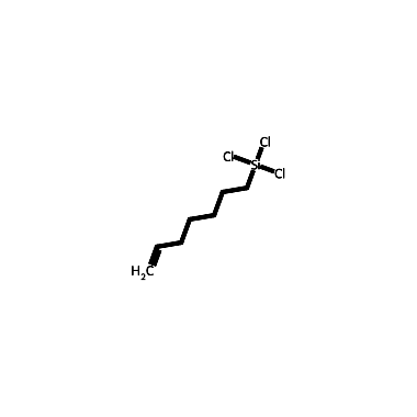 C=CCCCCC[Si](Cl)(Cl)Cl